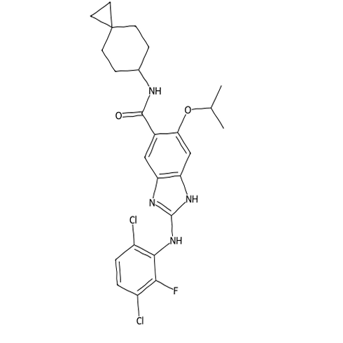 CC(C)Oc1cc2[nH]c(Nc3c(Cl)ccc(Cl)c3F)nc2cc1C(=O)NC1CCC2(CC1)CC2